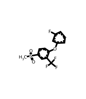 CS(=O)(=O)c1ccc(Oc2c[c]cc(F)c2)c(C(F)(F)F)c1